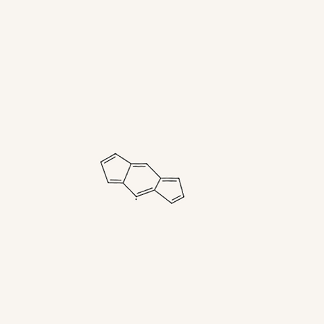 [c]1c2c(cc3c1=CC=C3)=CC=C2